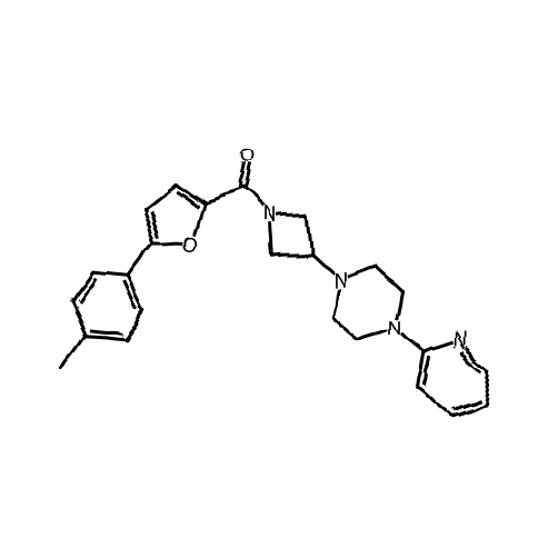 Cc1ccc(-c2ccc(C(=O)N3CC(N4CCN(c5ccccn5)CC4)C3)o2)cc1